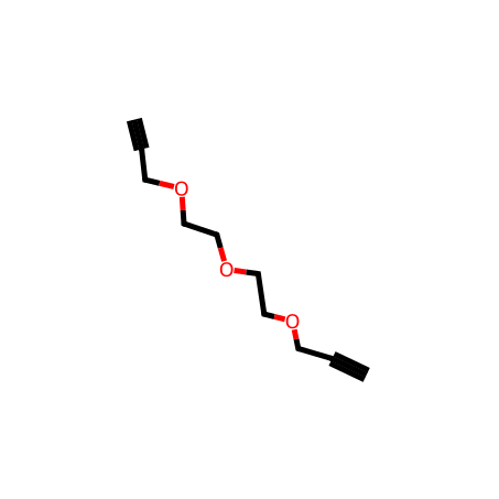 C#CCOCCOCCOCC#C